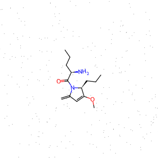 C=C1C=C(OC)[C@H](CCC)N1C(=O)[C@H](N)CCC